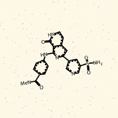 CNC(=O)c1ccc(Nc2nc(-c3cncc(S(N)(=O)=O)c3)cc3cc[nH]c(=O)c23)cc1